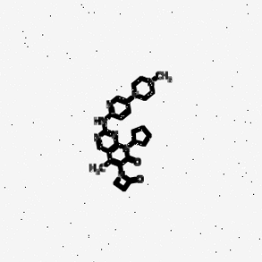 Cc1c(N2CCC2=O)c(=O)n(C2CCCC2)c2nc(Nc3ccc(N4CCN(C)CC4)cn3)ncc12